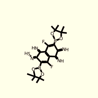 CC1(C)OB(c2c(F)c3c(=N)/c(=N\S)c(B4OC(C)(C)C(C)(C)O4)c(F)c=3c(=N)c2=N)OC1(C)C